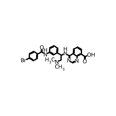 CN(C)CC(Nc1ncnc2c(C(=O)O)cccc12)c1cccc(NC(=O)c2ccc(Br)cc2)c1